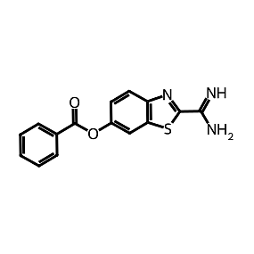 N=C(N)c1nc2ccc(OC(=O)c3ccccc3)cc2s1